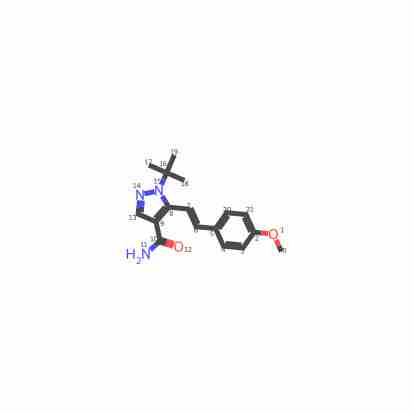 COc1ccc(C=Cc2c(C(N)=O)cnn2C(C)(C)C)cc1